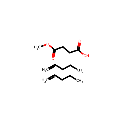 C=CCCC.C=CCCC.COC(=O)CCC(=O)O